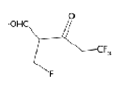 O=[C]C(CF)C(=O)CC(F)(F)F